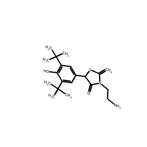 C=C1SC(c2cc(C(C)(C)C)c(O)c(C(C)(C)C)c2)C(=O)N1CCN